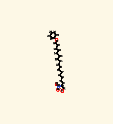 O=[C]C(CCCCCCCCCCCCCCCCOC1CC[CH]CC1)[N+](=O)[O-]